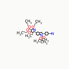 CCCCOC(=O)c1c(OCCCC)nc(-c2ccc3c(c2)cc(-c2ccc(C#N)cc2)n3C(=O)OC(C)(C)C)c(CC)c1OCCCC